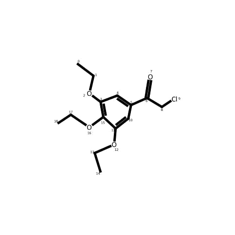 CCOc1cc(C(=O)CCl)cc(OCC)c1OCC